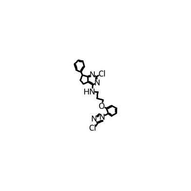 Clc1cn(-c2ccccc2OCCCNc2nc(Cl)nc3c2CCC3c2ccccc2)cn1